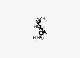 Cc1cc(-c2cc(C(=O)N3CC[C@H](C(N)=O)CC34CC4)n[nH]2)ncn1